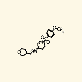 O=S(=O)(c1ccc(OC(F)(F)F)cc1)N1CCC(=NOCC2CCOCC2)CC1